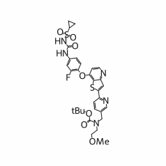 COCCN(Cc1ccc(-c2cc3nccc(Oc4ccc(NC(=O)NS(=O)(=O)C5CC5)cc4F)c3s2)nc1)C(=O)OC(C)(C)C